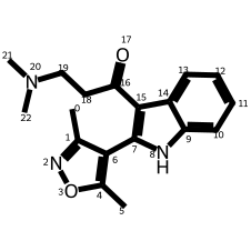 Cc1noc(C)c1-c1[nH]c2ccccc2c1C(=O)CCN(C)C